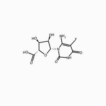 Nc1c(F)c(=O)[nH]c(=O)n1[C@@H]1O[C@H](C(=O)O)[C@@H](O)[C@H]1O